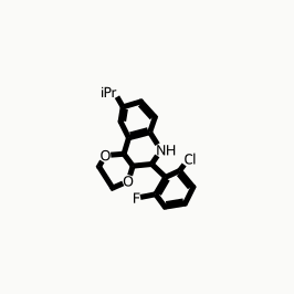 CC(C)c1ccc2c(c1)C1OCCOC1C(c1c(F)cccc1Cl)N2